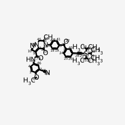 COc1ccc(NC(=O)c2cnn3c2C(=O)N(c2ccc(C(=O)c4cccc(C#C[Si](C(C)C)(C(C)C)C(C)C)c4)cc2)C(C)C3)cc1C#N